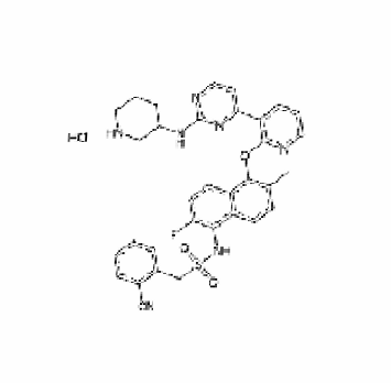 Cc1ccc2c(NS(=O)(=O)Cc3ccccc3C#N)c(F)ccc2c1Oc1ncccc1-c1ccnc(NC2CCCNC2)n1.Cl